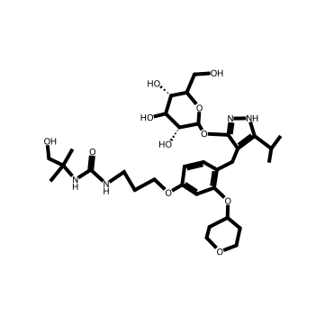 CC(C)c1[nH]nc(OC2OC(CO)[C@@H](O)C(O)[C@H]2O)c1Cc1ccc(OCCCNC(=O)NC(C)(C)CO)cc1OC1CCOCC1